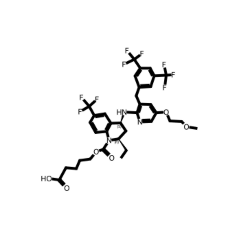 CC[C@@H]1C[C@H](Nc2ncc(OCCOC)cc2Cc2cc(C(F)(F)F)cc(C(F)(F)F)c2)c2cc(C(F)(F)F)ccc2N1C(=O)OCCCCC(=O)O